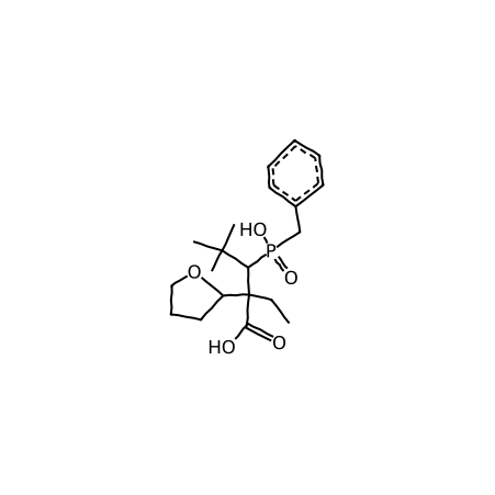 CCC(C(=O)O)(C1CCCO1)C(C(C)(C)C)P(=O)(O)Cc1ccccc1